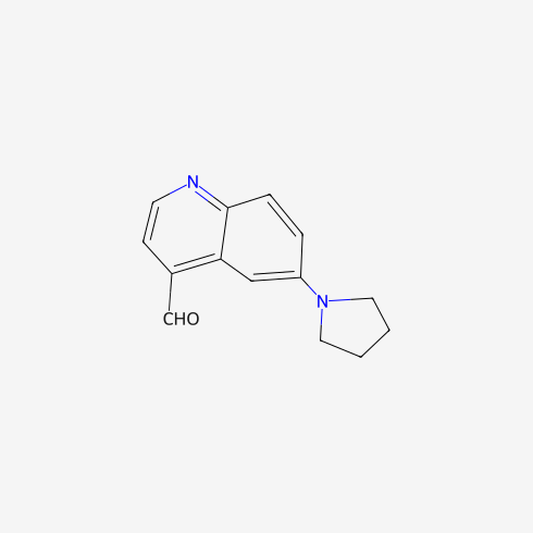 O=Cc1ccnc2ccc(N3CCCC3)cc12